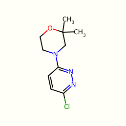 CC1(C)CN(c2ccc(Cl)nn2)CCO1